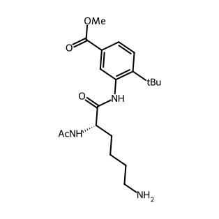 COC(=O)c1ccc(C(C)(C)C)c(NC(=O)[C@H](CCCCN)NC(C)=O)c1